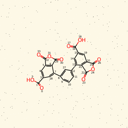 O=C(O)c1cc2c(c(-c3cccc(-c4cc(C(=O)O)cc5c4C(=O)OC5=O)c3)c1)C(=O)OC2=O